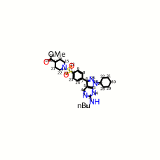 CCCCNc1ncc2c(-c3ccc(S(=O)(=O)N4CCC(C(=O)OC)CC4)cc3)nn(C3CCCCC3)c2n1